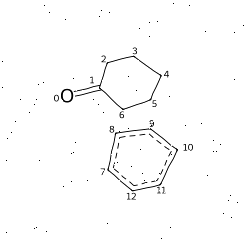 O=C1CCCCC1.c1ccccc1